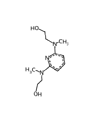 CN(CCO)c1cccc(N(C)CCO)n1